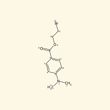 CN(C)c1ccc(C(=O)OCCBr)cc1